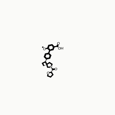 COc1ccc(C(=O)O)cc1-c1ccc([C@@H]2CC[C@@]23CCN(C(=O)[C@H]2CCCO2)C3)cc1